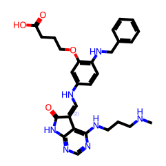 CNCCCNc1ncnc2c1/C(=C/Nc1ccc(NCc3ccccc3)c(OCCCC(=O)O)c1)C(=O)N2